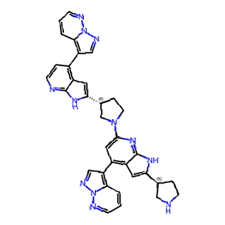 c1cnn2ncc(-c3ccnc4[nH]c([C@@H]5CCN(c6cc(-c7cnn8ncccc78)c7cc([C@H]8CCNC8)[nH]c7n6)C5)cc34)c2c1